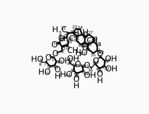 CC1=C(CO[C@@H]2O[C@H](CO)[C@@H](O)[C@H](O)[C@H]2O)C(=O)O[C@@H]([C@@H](C)[C@H]2CC[C@H]3[C@@H]4CC=C5C[C@@H](O[C@@H]6O[C@H](CO[C@@H]7O[C@H](CO)[C@@H](O)[C@H](O)[C@H]7O)[C@@H](O)[C@H](O)[C@H]6O)C[C@H](O)[C@]5(C)[C@H]4CC[C@]23C)C1